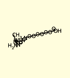 CCCCc1nc2c(N)nc3ccc(N4CCN(CCOCCOCCOCCOCCOCCOCCC(=O)O)CC4)cc3c2[nH]1